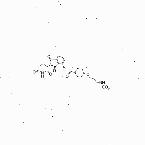 O=C(O)NCCCOC1CCN(C(=O)COc2cccc3c2C(=O)N(C2CCC(=O)NC2=O)C3=O)CC1